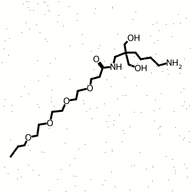 CCCOCCOCCOCCOCCC(=O)NCC(CO)(CO)CCCCN